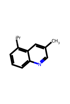 Cc1cnc2cccc(C(C)C)c2c1